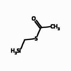 CC(=O)SC[SiH3]